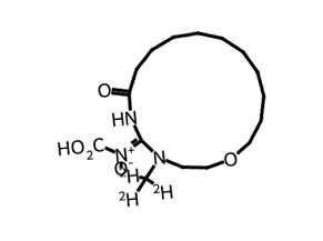 [2H]C([2H])([2H])N1CCOCCCCCCCCCCC(=O)N/C1=[N+](/[O-])C(=O)O